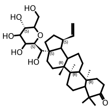 C=C[C@@H]1CC[C@]2(C(O)[C@@H]3OC(CO)[C@@H](O)C(O)C3O)CC[C@]3(C)C(CCC4[C@@]5(C)CCC(=O)C(C)(C)C5CC[C@]43C)C12